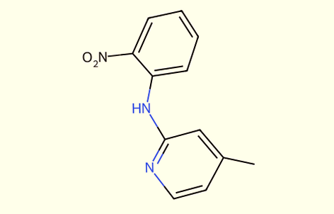 Cc1ccnc(Nc2ccccc2[N+](=O)[O-])c1